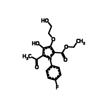 CCOC(=O)c1c(OCCO)c(O)c(C(C)=O)n1-c1ccc(F)cc1